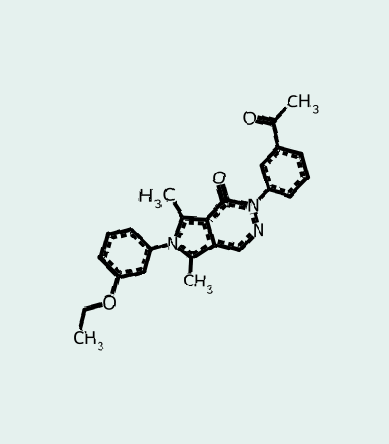 CCOc1cccc(-n2c(C)c3cnn(-c4cccc(C(C)=O)c4)c(=O)c3c2C)c1